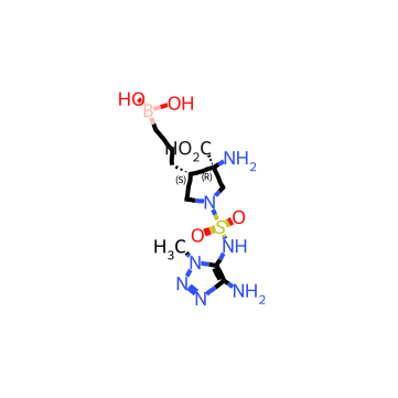 Cn1nnc(N)c1NS(=O)(=O)N1C[C@H](CCCB(O)O)[C@](N)(C(=O)O)C1